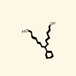 OC/C=C/C=C/CC(C/C=C/C=C/CO)c1ccccc1